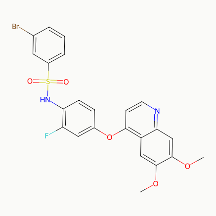 COc1cc2nccc(Oc3ccc(NS(=O)(=O)c4cccc(Br)c4)c(F)c3)c2cc1OC